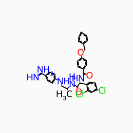 C[C@@H](CNc1ccc(C(=N)N)cc1)NC(=O)[C@H](NC(=O)c1ccc(OCc2ccccc2)cc1)c1ccc(Cl)cc1Cl